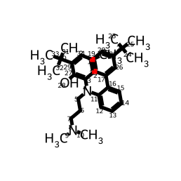 Cc1cc(N(CCCN(C)C)c2ccccc2-c2cccc(C(C)(C)C)c2)c(O)c(C(C)(C)C)c1